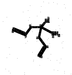 C=CCC([SiH3])(CC)CC=C